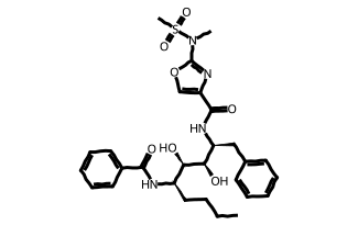 CCCC[C@@H](NC(=O)c1ccccc1)[C@@H](O)[C@H](O)[C@H](Cc1ccccc1)NC(=O)c1coc(N(C)S(C)(=O)=O)n1